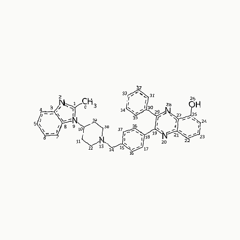 Cc1nc2ccccc2n1C1CCN(Cc2ccc(-c3nc4cccc(O)c4nc3-c3ccccc3)cc2)CC1